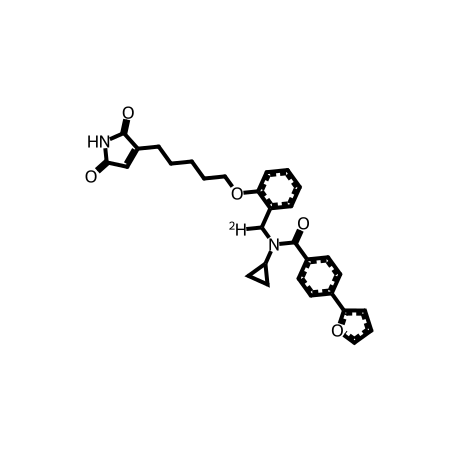 [2H]C(c1ccccc1OCCCCCC1=CC(=O)NC1=O)N(C(=O)c1ccc(-c2ccco2)cc1)C1CC1